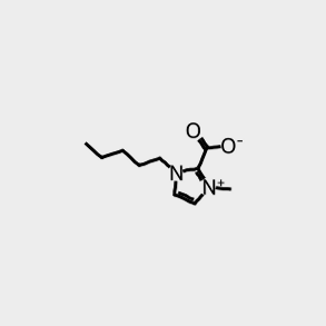 CCCCCn1cc[n+](C)c1C(=O)[O-]